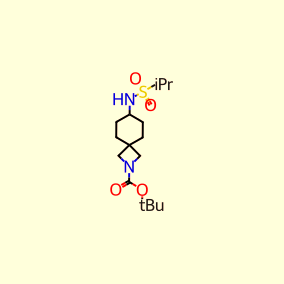 CC(C)S(=O)(=O)NC1CCC2(CC1)CN(C(=O)OC(C)(C)C)C2